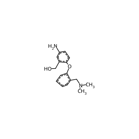 CN(C)Cc1ccccc1Oc1ccc(N)cc1CO